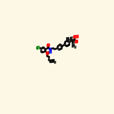 CCCCOc1ccc(Cl)cc1C(=O)NCCc1ccc(-c2ccc(C(C)(C)C(=O)O)cc2)cc1